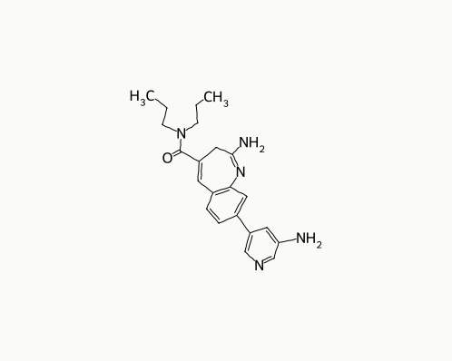 CCCN(CCC)C(=O)C1=Cc2ccc(-c3cncc(N)c3)cc2N=C(N)C1